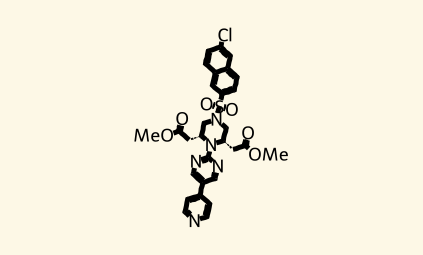 COC(=O)C[C@@H]1CN(S(=O)(=O)c2ccc3cc(Cl)ccc3c2)C[C@H](CC(=O)OC)N1c1ncc(-c2ccncc2)cn1